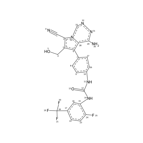 N#Cc1c(CO)c(-c2ccc(NC(=O)Nc3cc(C(F)(F)F)ccc3F)cc2)c2c(N)nncn12